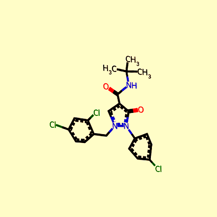 CC(C)(C)NC(=O)c1cn(Cc2ccc(Cl)cc2Cl)n(-c2ccc(Cl)cc2)c1=O